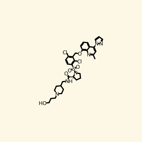 Cc1cc(-n2cccn2)c2cccc(OCc3c(Cl)ccc(S(=O)(=O)N4CCC[C@H]4C(=O)NCC4CCN(CCCO)CC4)c3Cl)c2n1